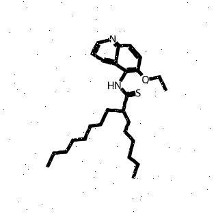 CCCCCCCCC(CCCCCC)C(=S)Nc1c(OCC)ccc2ncccc12